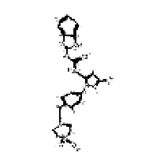 CC(C)(C)c1cc(NC(=O)Nc2nc3ccccc3[nH]2)n(-c2ccc(CN3CCS(=O)(=O)CC3)cc2)n1